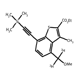 [2H]C([2H])(OC)c1ccc(C#C[Si](C)(C)C)c2sc(C(=O)OCC)c(C)c12